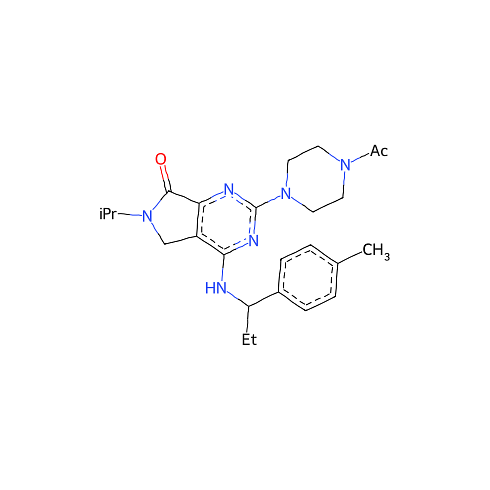 CCC(Nc1nc(N2CCN(C(C)=O)CC2)nc2c1CN(C(C)C)C2=O)c1ccc(C)cc1